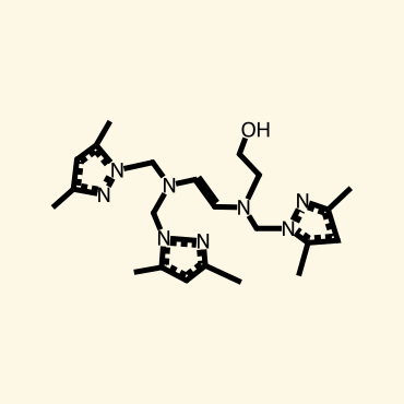 Cc1cc(C)n(CN(/C=C/N(Cn2nc(C)cc2C)Cn2nc(C)cc2C)CCO)n1